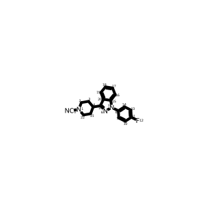 N#CN1CCC(c2nn(-c3ccc(F)cc3)c3ccccc23)CC1